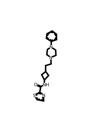 O=C(NC1CC(CCN2CCN(c3ccccc3)CC2)C1)c1nccs1